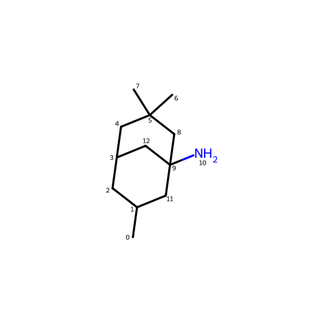 CC1CC2CC(C)(C)CC(N)(C1)C2